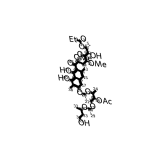 CCC(=O)O[C@H](C)[C@H](O)C(=O)[C@@H](OC)[C@@H]1Cc2cc3cc(O[C@@H](C)OC(C)[C@@H](CO[C@H](C)OC(C)CCO)OC(C)=O)c(C)c(O)c3c(O)c2C(=O)[C@H]1OC